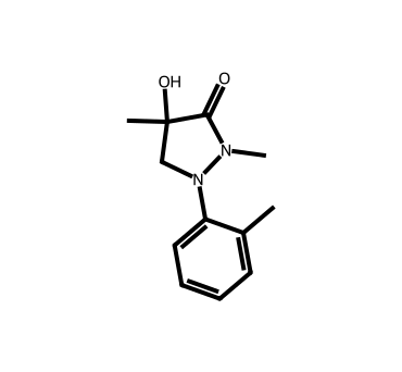 Cc1ccccc1N1CC(C)(O)C(=O)N1C